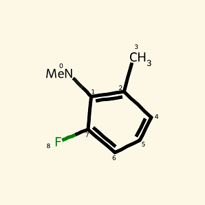 CNc1c(C)cccc1F